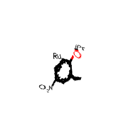 Cc1cc([N+](=O)[O-])ccc1OC(C)C.[Ru]